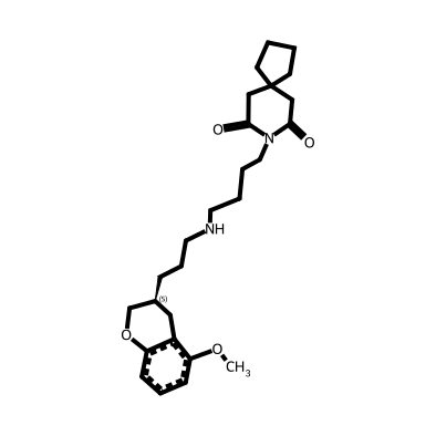 COc1cccc2c1C[C@H](CCCNCCCCN1C(=O)CC3(CCCC3)CC1=O)CO2